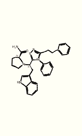 NC(=O)[C@@H]1CCCN1[C@H](Cc1c[nH]c2ccccc12)c1nnc(CCc2ccccc2)n1-c1ccccc1